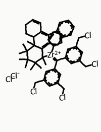 CC12C(=C3Cc4ccccc4C3=C3C=CCCC31)[C](C)([Zr+2](=[C](c1cc(CCl)cc(CCl)c1)c1cc(CCl)cc(CCl)c1)[CH]1C=CC=C1)C(C)(C)C(C)(C)C2(C)C.[Cl-].[Cl-]